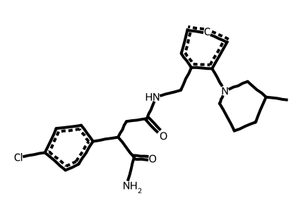 CC1CCCN(c2ccccc2CNC(=O)CC(C(N)=O)c2ccc(Cl)cc2)C1